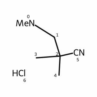 CNCC(C)(C)C#N.Cl